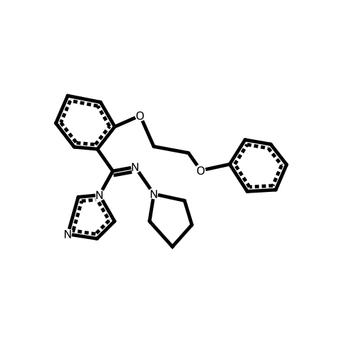 c1ccc(OCCOc2ccccc2C(=NN2CCCC2)n2ccnc2)cc1